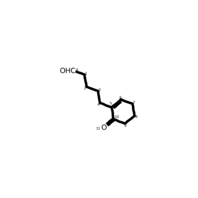 O=CCCCCC1=CCCCC1=O